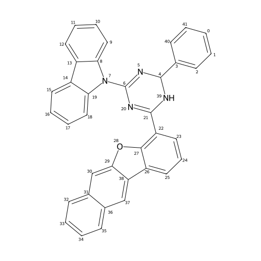 c1ccc(C2N=C(n3c4ccccc4c4ccccc43)N=C(c3cccc4c3oc3cc5ccccc5cc34)N2)cc1